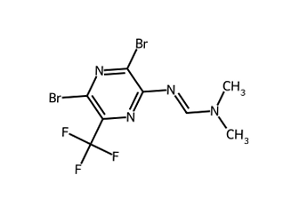 CN(C)C=Nc1nc(C(F)(F)F)c(Br)nc1Br